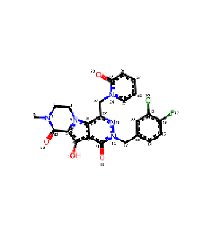 CN1CCn2c(c(O)c3c(=O)n(Cc4ccc(F)c(Cl)c4)nc(Cn4ccccc4=O)c32)C1=O